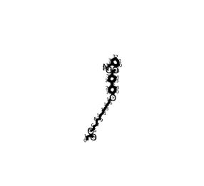 C=CC(=O)OCCCCCCCCCCCCOc1ccc(-c2ccc(C(=O)Oc3ccccc3C#N)cc2)cc1